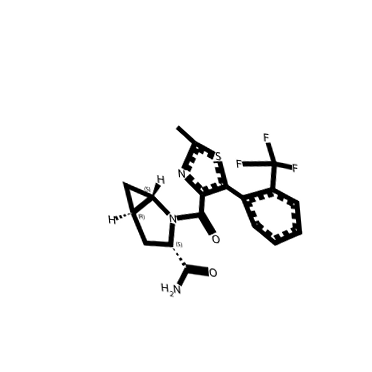 Cc1nc(C(=O)N2[C@H](C(N)=O)C[C@H]3C[C@@H]32)c(-c2ccccc2C(F)(F)F)s1